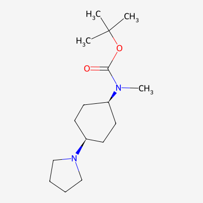 CN(C(=O)OC(C)(C)C)[C@H]1CC[C@@H](N2CCCC2)CC1